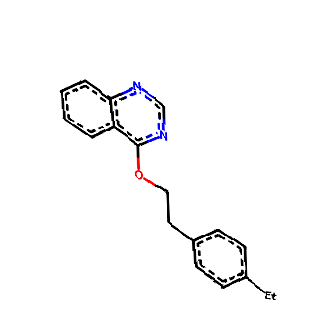 CCc1ccc(CCOc2ncnc3ccccc23)cc1